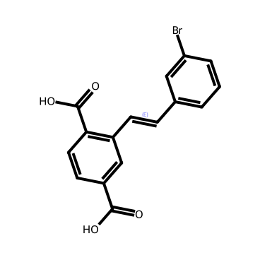 O=C(O)c1ccc(C(=O)O)c(/C=C/c2cccc(Br)c2)c1